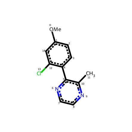 COc1ccc(-c2nccnc2C)c(Cl)c1